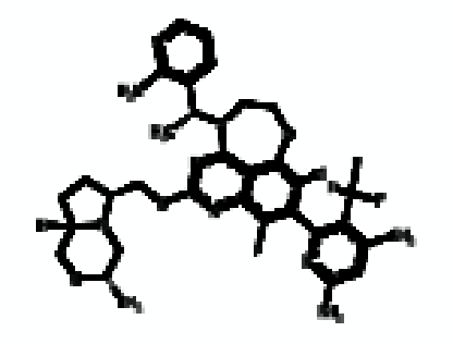 Cc1cc(N)nc(-c2c(Cl)c3c4c(nc(OC[C@@H]5CC[C@H]6CO[C@@H](C)CN56)nc4c2F)N([C@H](C)c2cccnc2N)CCO3)c1C(F)(F)F